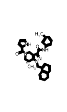 Cc1cccc(NC(=O)c2nn(Cc3cccc4c3C=CCC4)c3c2CN(C(=O)c2ccc[nH]2)C[C@H]3C)c1